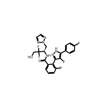 O=C(N[C@H](Cn1nccn1)C(F)(F)CO)c1cccc(F)c1-c1n[nH]c(-c2ccc(F)cc2)c1F